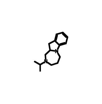 CC(C)N1CCCN2c3ccccc3CC2C1